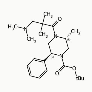 C[C@@H]1CN(C(=O)OC(C)(C)C)[C@@H](c2ccccc2)CN1C(=O)C(C)(C)CN(C)C